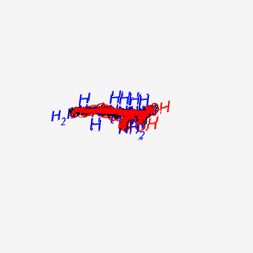 C[C@H](CCCCNC(=O)[C@H](CCCCNC(=O)CCCC(=O)NCCOCCOCC(=O)NCCOCCOCC(=O)NCCCC[C@H](C)C(N)=O)NC(=O)CCCC(=O)NC(CNC(C)(C)/C=N/O)CNC(C)(C)/C=N/O)C(N)=O